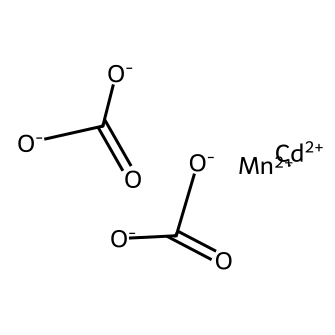 O=C([O-])[O-].O=C([O-])[O-].[Cd+2].[Mn+2]